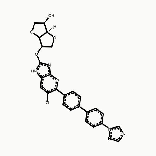 O[C@@H]1COC2[C@H](Oc3nc4nc(-c5ccc(-c6ccc(-n7cncn7)cc6)cc5)c(Cl)cc4[nH]3)CO[C@@H]21